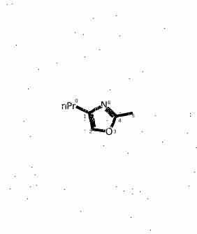 [CH2]CCc1coc(C)n1